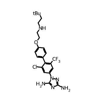 CC(C)(C)CCNCCOc1ccc(-c2c(Cl)cc(-n3nc(N)nc3N)cc2C(F)(F)F)cc1